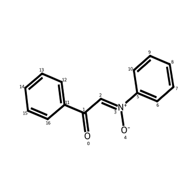 O=C(C=[N+]([O-])c1ccccc1)c1ccccc1